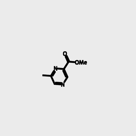 COC(=O)c1cncc(C)n1